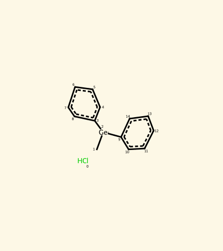 Cl.[CH3][Ge]([c]1ccccc1)[c]1ccccc1